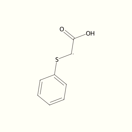 O=C(O)[CH]Sc1ccccc1